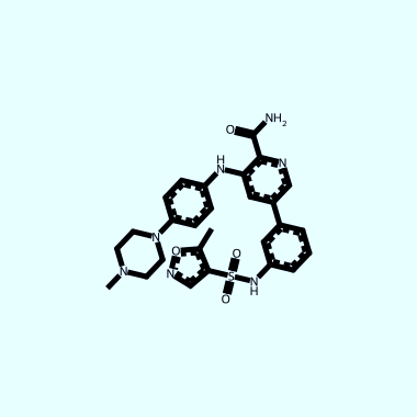 Cc1oncc1S(=O)(=O)Nc1cccc(-c2cnc(C(N)=O)c(Nc3ccc(N4CCN(C)CC4)cc3)c2)c1